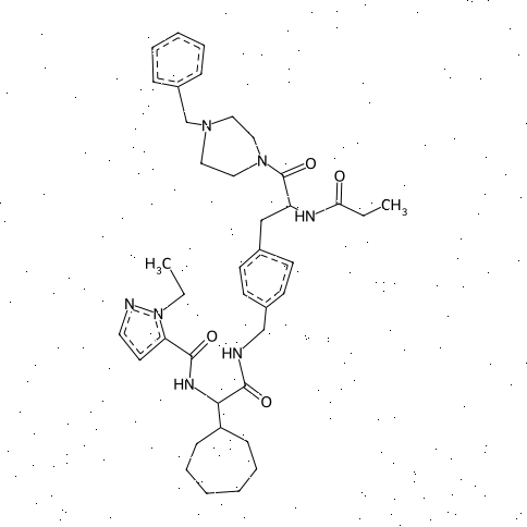 CCC(=O)NC(Cc1ccc(CNC(=O)C(NC(=O)c2ccnn2CC)C2CCCCCC2)cc1)C(=O)N1CCN(Cc2ccccc2)CC1